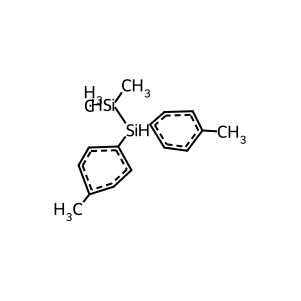 Cc1ccc([SiH](c2ccc(C)cc2)[SiH](C)C)cc1